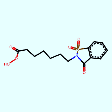 O=C(CCCCCCN1C(=O)c2ccccc2S1(=O)=O)OO